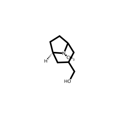 CN1C2CC[C@@H]1CC(CO)C2